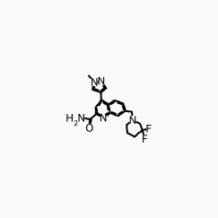 Cn1cc(-c2cc(C(N)=O)nc3cc(CN4CCCC(F)(F)C4)ccc23)cn1